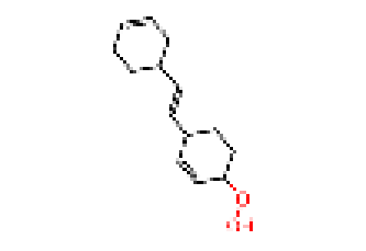 OOC1C=CC(/C=C/C2CC=CCC2)CC1